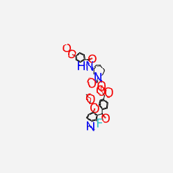 COCOc1ccc(C(=O)NC2CCCCN(C(=O)OOC(=O)c3ccc(C(=O)c4c(OCOC)ccc(N(C)C)c4F)cc3)C2)cc1